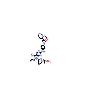 C=CCn1c(=O)c2cnc(Nc3ccc(N4CC5(C4)OCCN4CCCCC45)cc3)nc2n1-c1cccc(C(C)(C)O)n1